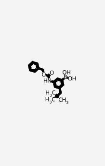 CC(C)(C)Cc1cc(NC(=O)OCc2ccccc2)cc(B(O)O)c1